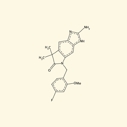 COc1cc(F)ccc1CN1C(=O)C(C)(C)c2cc3nc(N)[nH]c3cc21